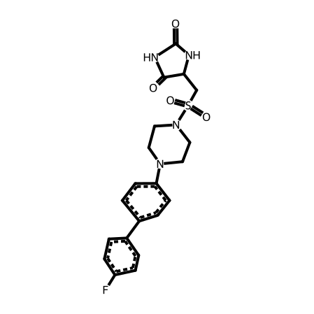 O=C1NC(=O)C(CS(=O)(=O)N2CCN(c3ccc(-c4ccc(F)cc4)cc3)CC2)N1